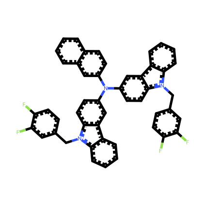 Fc1ccc(Cn2c3ccccc3c3cc(N(c4ccc5ccccc5c4)c4ccc5c(c4)c4ccccc4n5Cc4ccc(F)c(F)c4)ccc32)cc1F